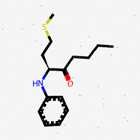 CCCCC(=O)[C@H](CCSC)Nc1ccccc1